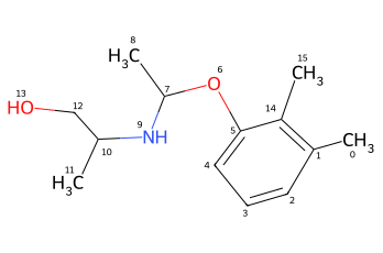 Cc1cccc(OC(C)NC(C)CO)c1C